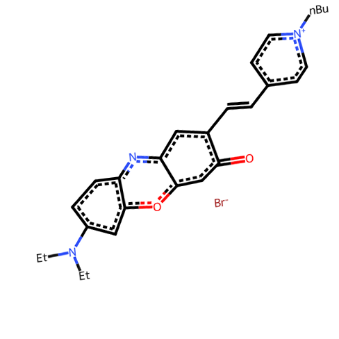 CCCC[n+]1ccc(/C=C/c2cc3nc4ccc(N(CC)CC)cc4oc-3cc2=O)cc1.[Br-]